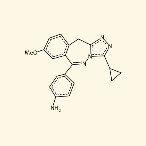 COc1ccc2c(c1)C(c1ccc(N)cc1)=Nn1c(nnc1C1CC1)C2